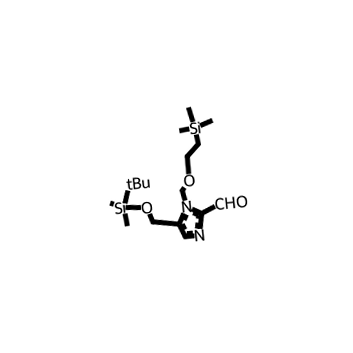 CC(C)(C)[Si](C)(C)OCc1cnc(C=O)n1COCC[Si](C)(C)C